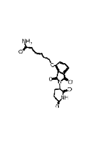 NC(=O)CCCCCOc1cccc2c1C(=O)N(C1CCC(=O)NC1=O)C2=O